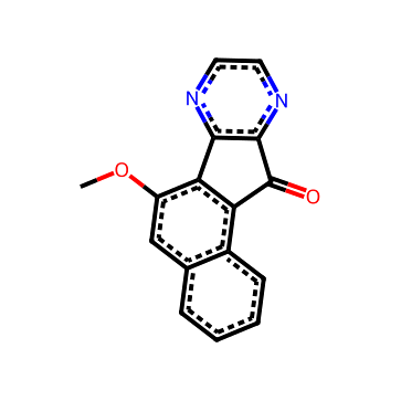 COc1cc2ccccc2c2c1-c1nccnc1C2=O